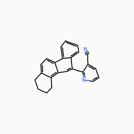 N#Cc1cccnc1-c1cc2c3c(ccc2c2ccccc12)CCCC3